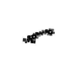 NC(=O)N(S)c1ccc(OCCCCCOc2ccccc2)cc1